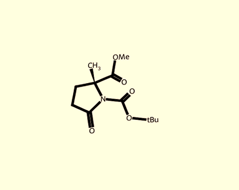 COC(=O)[C@@]1(C)CCC(=O)N1C(=O)OC(C)(C)C